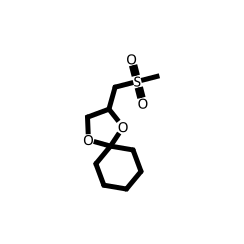 CS(=O)(=O)CC1COC2(CCCCC2)O1